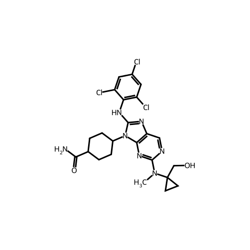 CN(c1ncc2nc(Nc3c(Cl)cc(Cl)cc3Cl)n(C3CCC(C(N)=O)CC3)c2n1)C1(CO)CC1